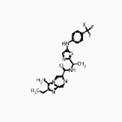 CCc1nc2cnc(C(=O)NC(C)c3ncc(Nc4ccc(C(F)(F)F)cc4)s3)cn2c1N